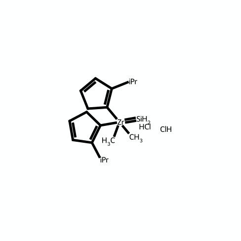 CC(C)C1=[C]([Zr]([CH3])([CH3])(=[SiH2])[C]2=C(C(C)C)C=CC2)CC=C1.Cl.Cl